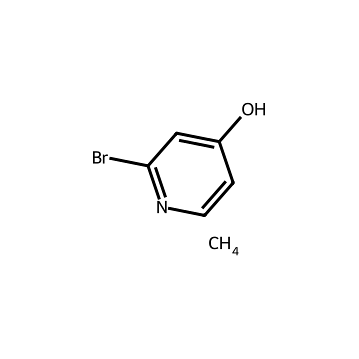 C.Oc1ccnc(Br)c1